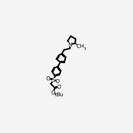 C[C@@H]1CCCN1CCc1ccc(-c2ccc(S(=O)(=O)CC(=O)OC(C)(C)C)cc2)cc1